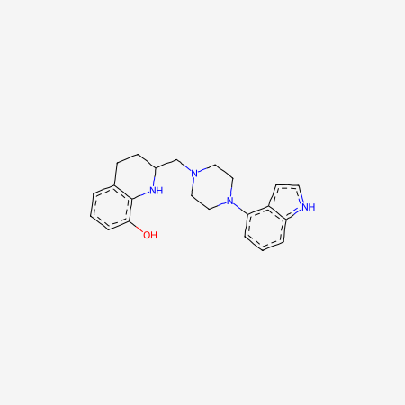 Oc1cccc2c1NC(CN1CCN(c3cccc4[nH]ccc34)CC1)CC2